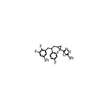 CC(C)c1cc(F)c(F)c(CC(CC2CC2(F)c2nnc(C(C)C)o2)c2ccc(F)cc2)c1